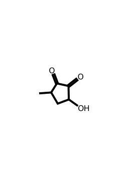 CC1CC(O)C(=O)C1=O